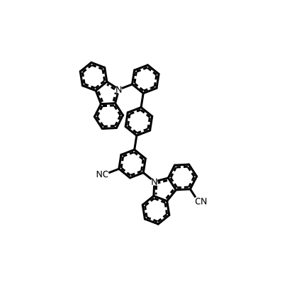 N#Cc1cc(-c2ccc(-c3ccccc3-n3c4ccccc4c4ccccc43)cc2)cc(-n2c3ccccc3c3c(C#N)cccc32)c1